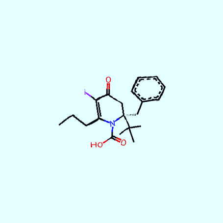 CCCC1=C(I)C(=O)C[C@@](Cc2ccccc2)(C(C)(C)C)N1C(=O)O